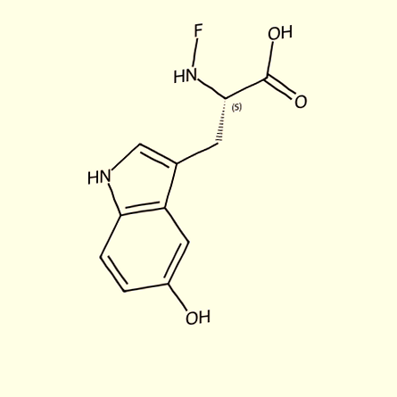 O=C(O)[C@H](Cc1c[nH]c2ccc(O)cc12)NF